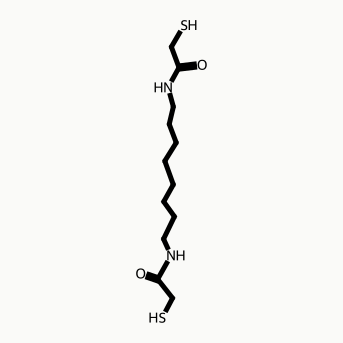 O=C(CS)NCCCCCCCCNC(=O)CS